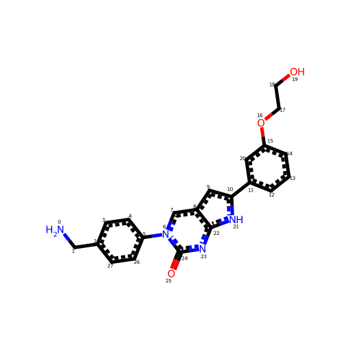 NCc1ccc(-n2cc3cc(-c4cccc(OCCO)c4)[nH]c3nc2=O)cc1